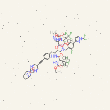 COC(=O)N[C@H](C(=O)N[C@@H](Cc1ccc(C#Cc2cnc(N3CC4CCC(C3)N4C3COC3)nc2)cc1)[C@H](CN(Cc1c(F)cc(-c2ccn(C(F)F)n2)cc1F)NC(=O)[C@@H](NC(=O)OC)C(C)(C)C(F)(F)F)OC(=O)c1cccnc1)C(C)(C)C(F)(F)F